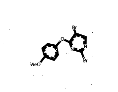 COc1ccc(Oc2nc(Br)ncc2Br)cc1